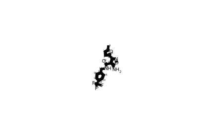 Cc1ccc(-c2noc(N)c2C(=O)NCc2ccc(C(F)(F)F)cc2)o1